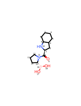 O=C([C@@H]1CC2CCCCC2N1)N1CCC[C@H]1B(O)O